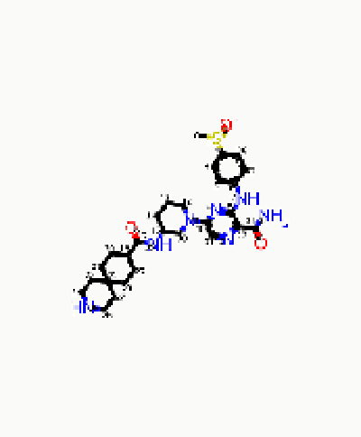 C[S+]([O-])c1ccc(Nc2nc(N3CCCC(NC(=O)C4CCC5(CCNCC5)CC4)C3)cnc2C(N)=O)cc1